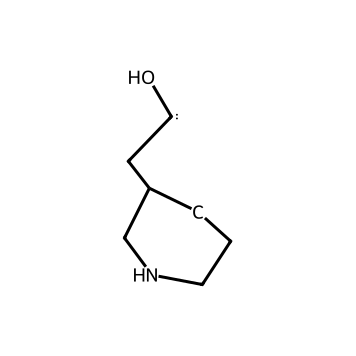 O[C]CC1CCCNC1